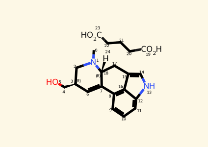 CN1C[C@H](CO)C=C2c3cccc4[nH]cc(c34)C[C@H]21.O=C(O)CCCC(=O)O